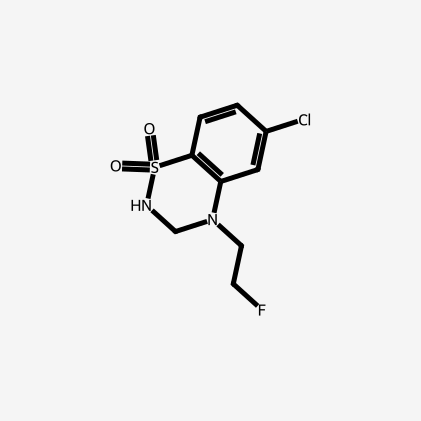 O=S1(=O)NCN(CCF)c2cc(Cl)ccc21